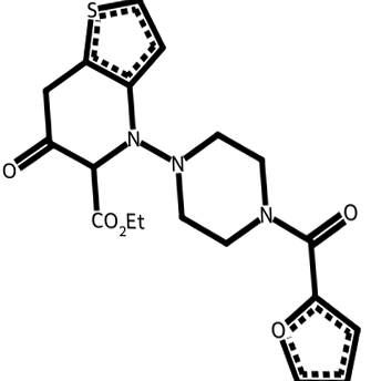 CCOC(=O)C1C(=O)Cc2sccc2N1N1CCN(C(=O)c2ccco2)CC1